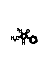 [2H]c1c(C)[nH]n(-c2ccccc2)c1=O